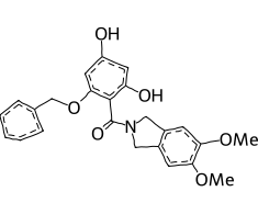 COc1cc2c(cc1OC)CN(C(=O)c1c(O)cc(O)cc1OCc1ccccc1)C2